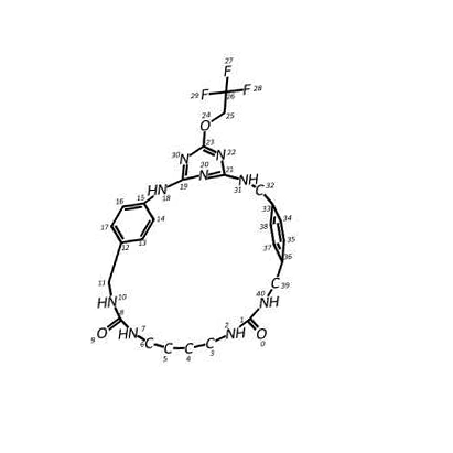 O=C1NCCCCNC(=O)NCc2ccc(cc2)Nc2nc(nc(OCC(F)(F)F)n2)NCc2ccc(cc2)CN1